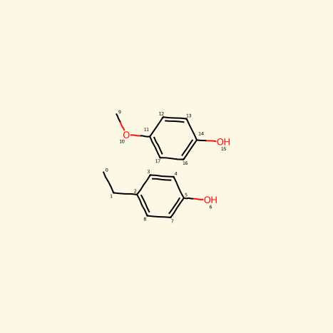 CCc1ccc(O)cc1.COc1ccc(O)cc1